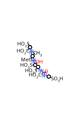 COc1cc(/N=N/c2ccc(S(=O)(=O)O)cc2C(=O)O)c(C)cc1/N=N/c1c(S(=O)(=O)O)cc2c(S(=O)(=O)O)c(/N=N/C3C(=O)N(c4ccc(S(=O)(=O)O)cc4)N=C3C(=O)O)ccc2c1O